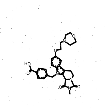 CN1C(=O)C2c3c(c4cc(OCCN5CCOCC5)ccc4n3Cc3ccc(C(=O)O)cc3)CCN2C1=O